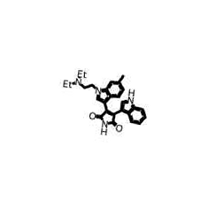 CCN(CC)CCn1cc(C2=C(c3c[nH]c4ccccc34)C(=O)NC2=O)c2ccc(C)cc21